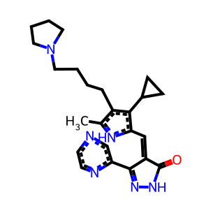 Cc1[nH]c(/C=C2/C(=O)NN=C2c2cnccn2)c(C2CC2)c1CCCCN1CCCC1